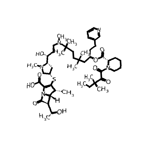 CCC(C)(C)C(=O)C(=O)N1CCCC[C@H]1C(=O)O[C@H](CCc1cccnc1)CC(C)(C)CCC(C)(C)N(C)CC[C@@H](O)[C@@H]1C[C@H](SC2=C(C(=O)O)N3C(=O)[C@H]([C@@H](C)O)[C@H]3[C@H]2C)CN1C